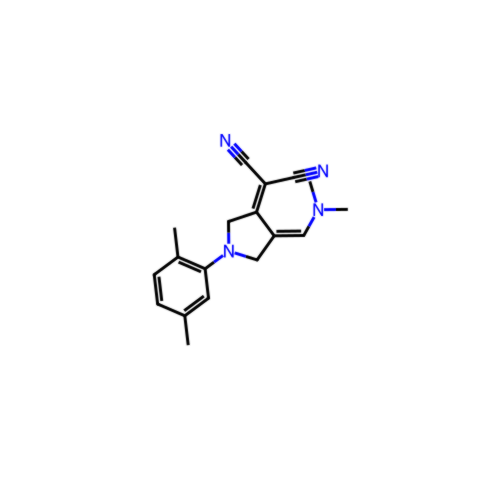 Cc1ccc(C)c(N2CC(=C(C#N)C#N)/C(=C\N(C)C)C2)c1